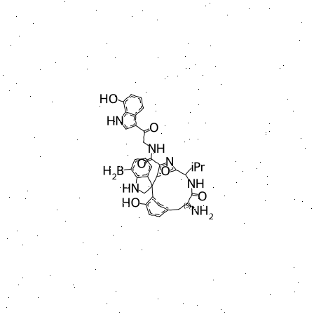 Bc1cccc2c1NCC21c2cc(ccc2O)C[C@H](N)C(=O)NC(C(C)C)c2nc(C(=O)NCC(=O)c3c[nH]c4c(O)cccc34)c1o2